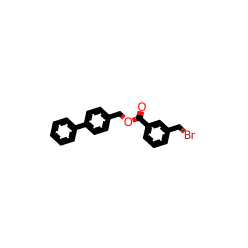 O=C(OCc1ccc(-c2ccccc2)cc1)c1cccc(CBr)c1